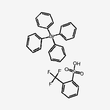 O=S(=O)(O)c1ccccc1C(F)(F)F.c1cc[c]([Bi]([c]2ccccc2)([c]2ccccc2)[c]2ccccc2)cc1